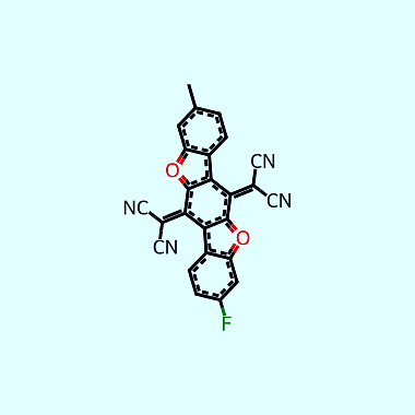 Cc1ccc2c(c1)oc1c(=C(C#N)C#N)c3c(oc4cc(F)ccc43)c(=C(C#N)C#N)c12